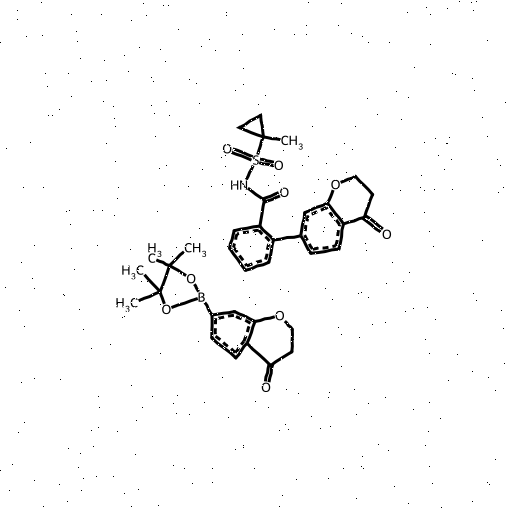 CC1(C)OB(c2ccc3c(c2)OCCC3=O)OC1(C)C.CC1(S(=O)(=O)NC(=O)c2ccccc2-c2ccc3c(c2)OCCC3=O)CC1